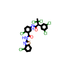 CC(Cl)(Cl)C(C(=O)Nc1ccc(Cl)c(C(=O)Nc2nc3c(Cl)cccc3s2)c1)c1cc(Cl)cc(Cl)c1